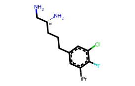 CC(C)c1cc(CCC[C@@H](N)CN)cc(Cl)c1F